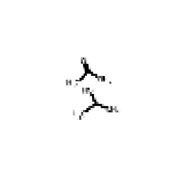 CC(C)O.CC(N)=O